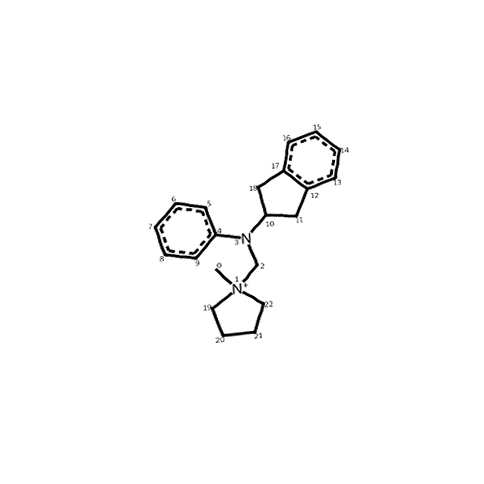 C[N+]1(CN(c2ccccc2)C2Cc3ccccc3C2)CCCC1